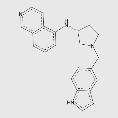 c1cc(N[C@@H]2CCN(Cc3ccc4[nH]ccc4c3)C2)c2ccncc2c1